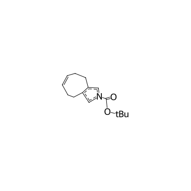 CC(C)(C)OC(=O)n1cc2c(c1)CC/C=C\CC2